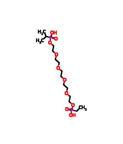 CCP(=O)(O)OCCOCCOCCOCCOCCOP(=O)(O)C(C)C